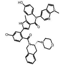 Cc1[nH]c(-c2cc(Cl)ccc2C(=O)N2Cc3ccccc3C[C@H]2CN2CCOCC2)cc1C(=O)N(c1ccc(O)cc1)c1cnc2c(ccn2C)c1